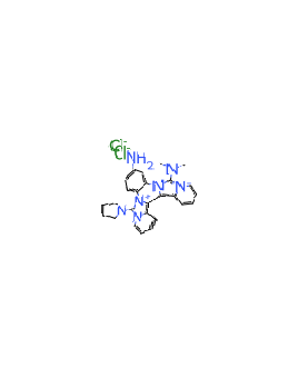 CN(C)c1n2c3cc(N)ccc3[n+]3c(N4CCCC4)n4ccccc4c3c2c2cccc[n+]12.[Cl-].[Cl-]